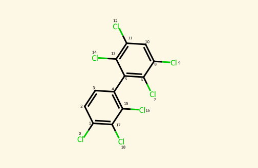 Clc1ccc(-c2c(Cl)c(Cl)cc(Cl)c2Cl)c(Cl)c1Cl